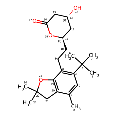 Cc1cc(C(C)(C)C)c(CC[C@@H]2C[C@@H](O)CC(=O)O2)c2c1CC(C)(C)O2